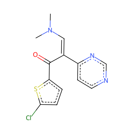 CN(C)C=C(C(=O)c1ccc(Cl)s1)c1ccncn1